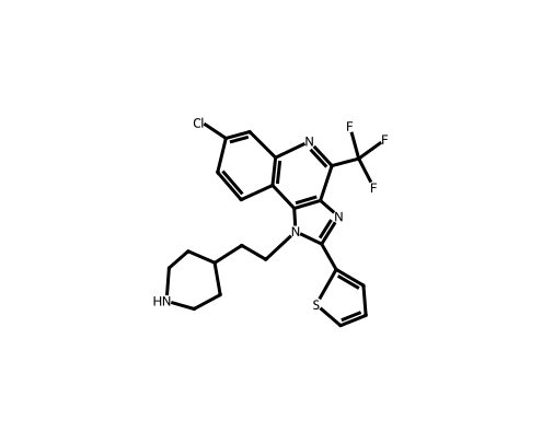 FC(F)(F)c1nc2cc(Cl)ccc2c2c1nc(-c1cccs1)n2CCC1CCNCC1